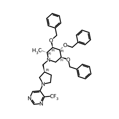 C[C@@H]1[C@@H](OCc2ccccc2)[C@H](OCc2ccccc2)[C@@H](OCc2ccccc2)CN1C[C@H]1CCN(c2cncnc2C(F)(F)F)C1